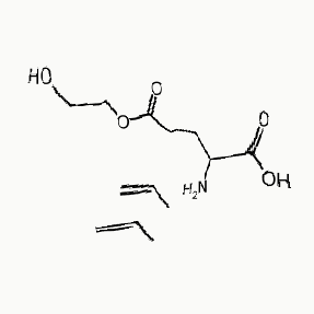 C=CC.C=CC.NC(CCC(=O)OCCO)C(=O)O